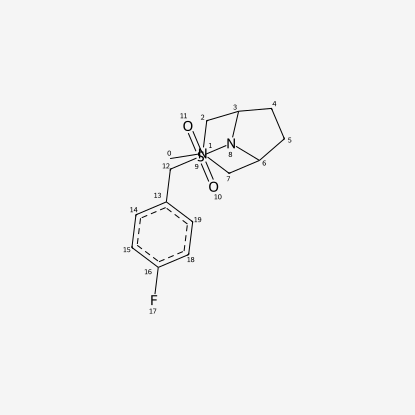 CN1CC2CCC(C1)N2S(=O)(=O)Cc1ccc(F)cc1